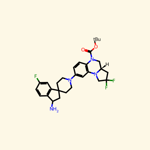 CC(C)(C)OC(=O)N1C[C@@H]2CC(F)(F)CN2c2cc(N3CCC4(CC3)CC(N)c3ccc(F)cc34)ccc21